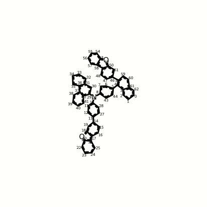 c1ccc2c(-c3ccc(N(c4ccc(-c5ccc6c(c5)oc5ccccc56)cc4)c4cc5ccccc5c5ccccc45)cc3)c(-c3ccc4c(c3)oc3ccccc34)ccc2c1